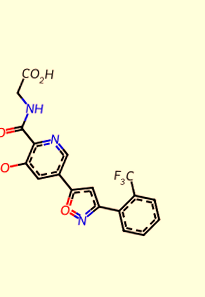 O=C(O)CNC(=O)c1ncc(-c2cc(-c3ccccc3C(F)(F)F)no2)cc1O